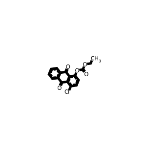 CCOC(=O)Oc1ccc(Cl)c2c1C(=O)c1ccccc1C2=O